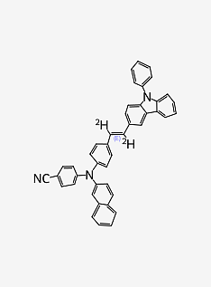 [2H]/C(=C(/[2H])c1ccc2c(c1)c1ccccc1n2-c1ccccc1)c1ccc(N(c2ccc(C#N)cc2)c2ccc3ccccc3c2)cc1